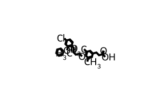 Cc1cc(CCC(=O)O)cc(C)c1OCC[C@@H](C)Oc1ccc(Cl)cc1Oc1ccccc1